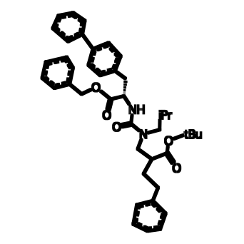 CC(C)CN(CC(CCc1ccccc1)C(=O)OC(C)(C)C)C(=O)N[C@@H](Cc1ccc(-c2ccccc2)cc1)C(=O)OCc1ccccc1